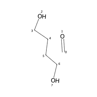 C=O.OCCCCO